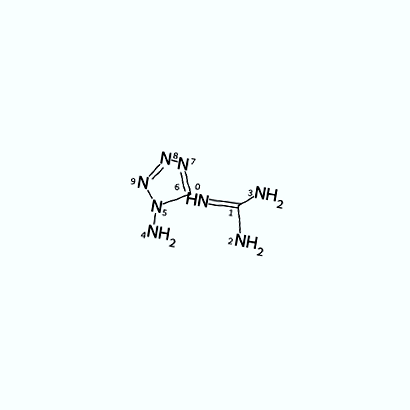 N=C(N)N.Nn1cnnn1